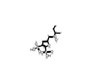 CCC(C)[N+]([O-])=Cc1cc(S(=O)(=O)O)c(S(=O)(=O)O)o1